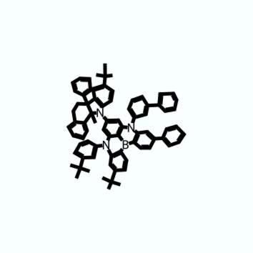 CC(C)(C)c1cccc(N2c3cc(C(C)(C)C)ccc3B3c4ccc(-c5ccccc5)cc4N(c4cccc(-c5ccccc5)c4)c4cc(N5c6ccc(C(C)(C)C)cc6C6(c7ccccc7)CCc7ccccc7C56C)cc2c43)c1